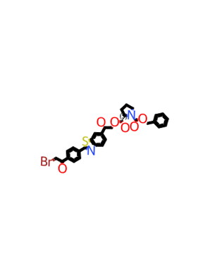 O=C(CBr)c1ccc(-c2nc3ccc(C(=O)COC(=O)[C@@H]4CCCN4C(=O)OCc4ccccc4)cc3s2)cc1